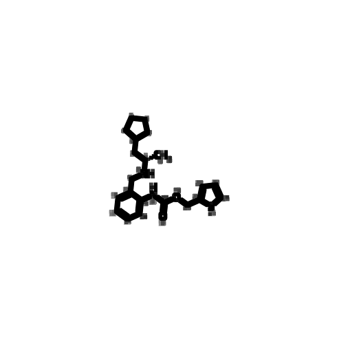 C[C@@H](CC1CCCC1)NCc1ccccc1NC(=O)OCc1cccs1